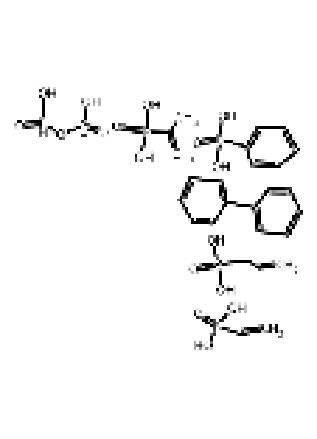 C=C(C)P(=O)(O)O.C=CCP(=O)(O)O.C=CP(=O)(O)O.O=P(O)(O)c1ccccc1.O=[PH](O)O[PH](=O)O.c1ccc(-c2ccccc2)cc1